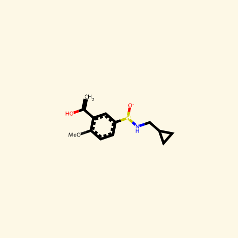 C=C(O)c1cc([S+]([O-])NCC2CC2)ccc1OC